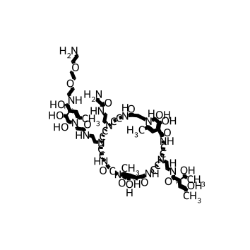 CC(O)=C[C@@H](C(=O)NCCN1CCNC(=O)C2=C(O)[C@@H](O)N(CC(=O)NCCN(CCNC(=O)CN)CCN(CCNC(=O)CN3C(C)=C[C@H]([C@@H](O)NCCOCCOCCN)C(O)C3O)CCNC(=O)CN3C(=O)C(O)[C@H](C=C3C)C(=O)NCC1)C(C)=C2)C(C)O